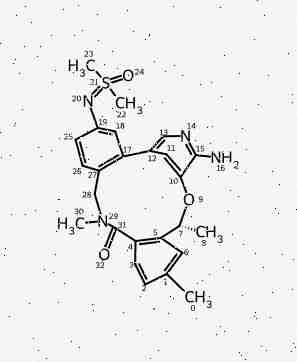 Cc1ccc2c(c1)[C@@H](C)Oc1cc(cnc1N)-c1cc(N=S(C)(C)=O)ccc1CN(C)C2=O